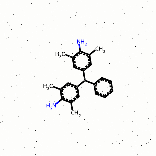 Cc1cc(C(c2ccccc2)c2cc(C)c(N)c(C)c2)cc(C)c1N